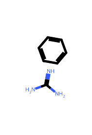 N=C(N)N.c1ccccc1